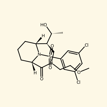 COCCN1C[C@H]([C@@H](C)O)[C@H]2CCC[C@@H](C1=O)N2S(=O)(=O)c1cc(Cl)cc(Cl)c1